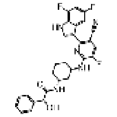 N#Cc1cc(F)c(N[C@@H]2CCC[C@@H](NC(=O)[C@@H](O)c3ccccc3)C2)nc1-c1c[nH]c2c(F)cc(F)cc12